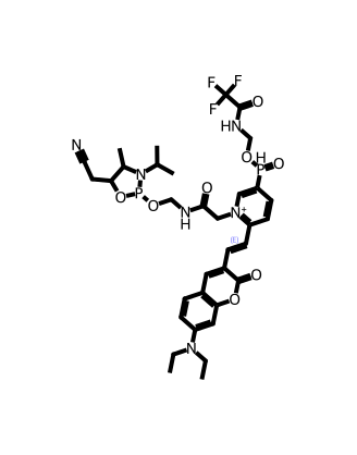 CCN(CC)c1ccc2cc(/C=C/c3ccc([PH](=O)OCNC(=O)C(F)(F)F)c[n+]3CC(=O)NCOP3OC(CC#N)C(C)N3C(C)C)c(=O)oc2c1